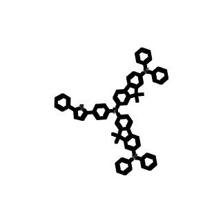 CC1(C)c2cc(N(c3ccccc3)c3ccccc3)ccc2-c2ccc(N(c3ccc(-c4ccc(-c5ccccc5)s4)cc3)c3ccc4c(c3)C(C)(C)c3cc(N(c5ccccc5)c5ccccc5)ccc3-4)cc21